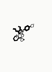 C=C/C=c1/c(N2CCCCC2C(=O)OC)nn(-c2ccc(Cl)cc2)/c1=C/C